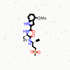 C#C[C@H](CCS(C)(=O)=O)NC(=O)[C@H](CC(C)C)NC(=O)c1cc2c(OC)cccc2[nH]1